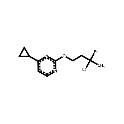 CCC(C)(CC)CCOc1nccc(C2CC2)n1